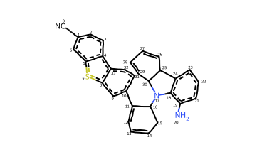 N#Cc1ccc2c(c1)sc1cc(C3=CC=CCC3N3c4c(N)cccc4C4C=CC=CC43)ccc12